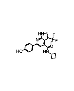 O=C(NN1CCC1)c1cc(-c2ccc(O)cc2)nc2[nH]nc(C(F)(F)F)c12